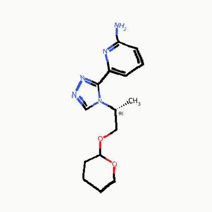 C[C@H](COC1CCCCO1)n1cnnc1-c1cccc(N)n1